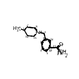 CC1CCN(Cc2cccc(C(N)=O)c2)CC1